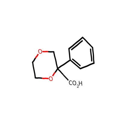 O=C(O)C1(c2ccccc2)COCCO1